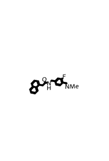 CNCc1ccc(CNC(=O)Cc2cccc3ccccc23)cc1F